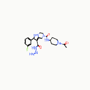 CC(=O)N1CCC(NC(=O)N2CCn3nc(-c4cccc(F)c4)c(C(=O)NN=N)c3C2)CC1